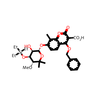 CC[Si](CC)(CC)O[C@H]1[C@@H](O)[C@H](Oc2ccc3c(OCc4ccccc4)c(C(=O)O)c(=O)oc3c2C)OC(C)(C)[C@@H]1OC